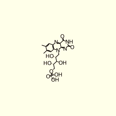 Cc1cc2nc3c(=O)[nH]c(=O)nc-3n(C[C@@H](O)[C@@H](O)[C@@H](O)COP(=O)(O)O)c2cc1C